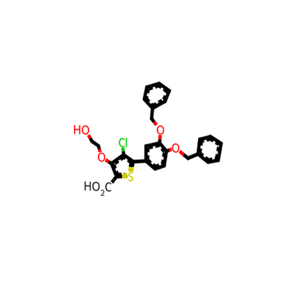 O=C(O)c1sc(-c2ccc(OCc3ccccc3)c(OCc3ccccc3)c2)c(Cl)c1OCCO